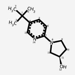 CC(C)(C)c1ccc(N2CC[C@@H](O)C2)nc1